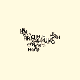 C[C@@H](NC(=O)Cn1cnnn1)[C@H]1C(=O)N2C(C(=O)O)=C(S[C@@H]3CN[C@H](CNC(=O)C4CSCN4)C3)[C@H](C)[C@H]12